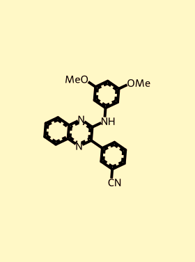 COc1cc(Nc2nc3ccccc3nc2-c2cccc(C#N)c2)cc(OC)c1